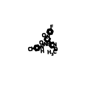 COc1ccc(C2CN(c3ccc(F)cc3)C(=O)CC2NC(=O)Nc2ccc(Cl)cc2)cn1